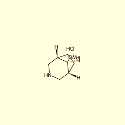 CO[C@H]1[C@@H]2CC[C@H]1CNC2.Cl